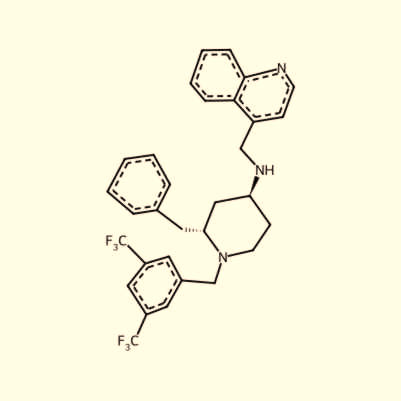 FC(F)(F)c1cc(CN2CC[C@H](NCc3ccnc4ccccc34)C[C@H]2Cc2ccccc2)cc(C(F)(F)F)c1